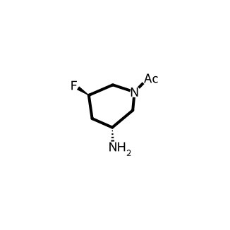 CC(=O)N1C[C@H](N)C[C@@H](F)C1